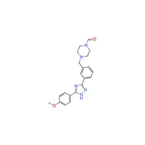 COc1ccc(-c2nc(-c3cccc(CN4CCN(C=O)CC4)c3)n[nH]2)cc1